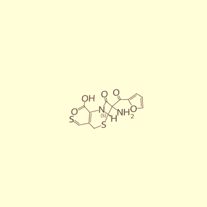 NC1(C(=O)c2ccco2)C(=O)N2C(C(=O)O)=C(C=S)CS[C@H]21